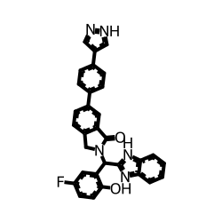 O=C1c2cc(-c3ccc(-c4cn[nH]c4)cc3)ccc2CN1C(c1nc2ccccc2[nH]1)c1cc(F)ccc1O